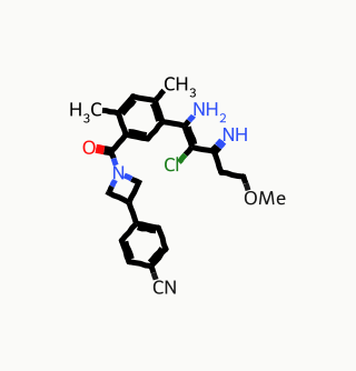 COCCC(=N)/C(Cl)=C(\N)c1cc(C(=O)N2CC(c3ccc(C#N)cc3)C2)c(C)cc1C